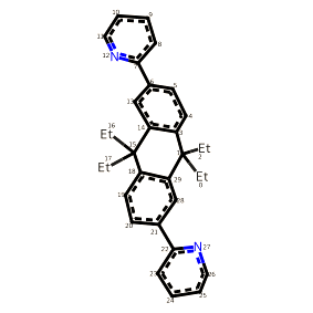 CCC1(CC)c2ccc(-c3ccccn3)cc2C(CC)(CC)c2ccc(-c3ccccn3)cc21